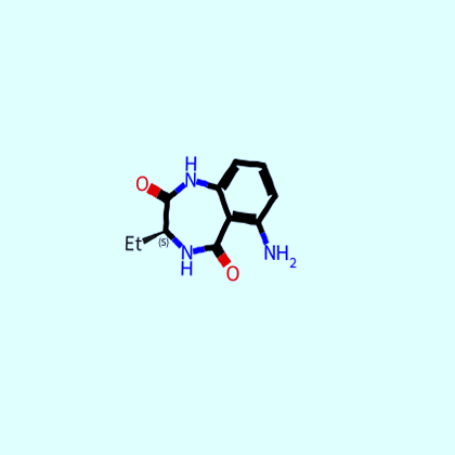 CC[C@@H]1NC(=O)c2c(N)cccc2NC1=O